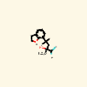 CCOC(=O)C(O)(CC(C)(C)c1cccc2c1OCC2)C(F)F